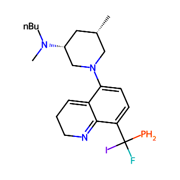 CCCCN(C)[C@@H]1C[C@H](C)CN(c2ccc(C(F)(P)I)c3c2=CCCN=3)C1